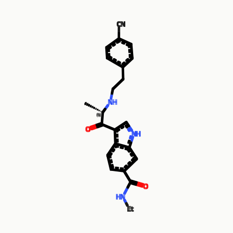 CCNC(=O)c1ccc2c(C(=O)[C@H](C)NCCc3ccc(C#N)cc3)c[nH]c2c1